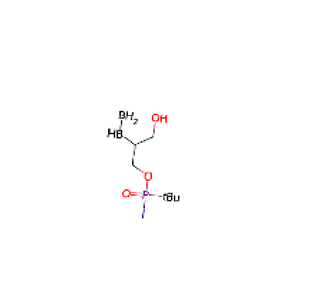 BBC(CO)COP(=O)(I)C(C)(C)C